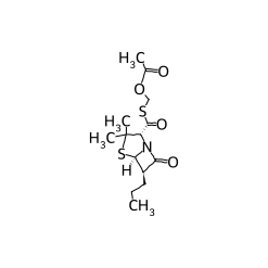 CCC[C@@H]1C(=O)N2[C@@H]1SC(C)(C)[C@@H]2C(=O)SCOC(C)=O